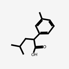 Cc1cccc(C(CC(C)C)C(=O)O)c1